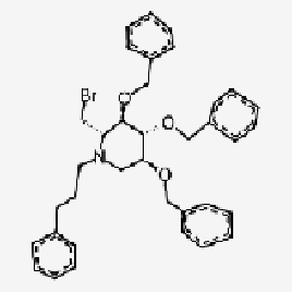 BrC[C@@H]1[C@@H](OCc2ccccc2)[C@H](OCc2ccccc2)[C@@H](OCc2ccccc2)CN1CCCc1ccccc1